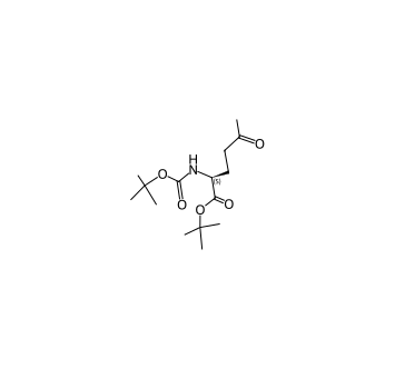 CC(=O)CC[C@H](NC(=O)OC(C)(C)C)C(=O)OC(C)(C)C